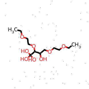 CCOCCOCC(O)C(OCCOCC)C(O)(O)O